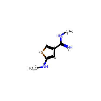 CC(=O)ONC(=N)c1csc(NC(=O)O)c1